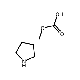 C1CCNC1.COC(=O)O